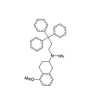 CCCN(CCC(c1ccccc1)(c1ccccc1)c1ccccc1)C1CCc2c(cccc2OC)C1